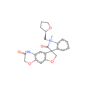 C[N+]1(C[C@H]2CCCO2)C(=O)C2(COc3cc4c(cc32)NC(=O)CO4)c2ccccc21